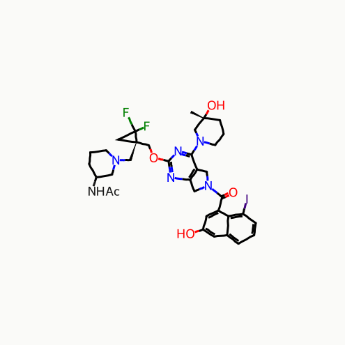 CC(=O)NC1CCCN(C[C@@]2(COc3nc4c(c(N5CCC[C@@](C)(O)C5)n3)CN(C(=O)c3cc(O)cc5cccc(I)c35)C4)CC2(F)F)C1